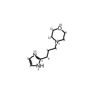 c1c[nH]c(CCCN2CCOCC2)n1